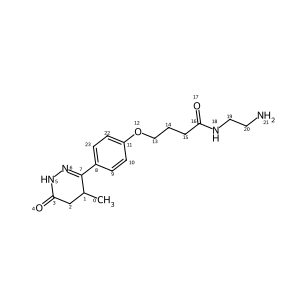 CC1CC(=O)NN=C1c1ccc(OCCCC(=O)NCCN)cc1